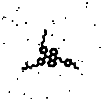 C=COCCc1ccc(N(c2ccc(CCOC(=O)C=C)cc2)c2c3ccccc3c(C=Cc3ccc(OCC)cc3)c3ccccc23)cc1